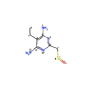 CCc1c(N)nc(C[S+]=O)nc1N